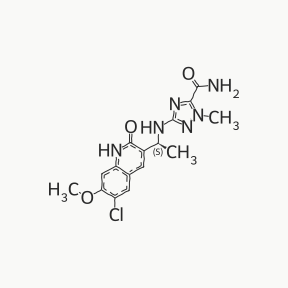 COc1cc2[nH]c(=O)c([C@H](C)Nc3nc(C(N)=O)n(C)n3)cc2cc1Cl